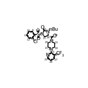 CCCCN1C(=O)N(S(=O)(=O)c2ccccc2Cl)C[C@H]1C(=O)N1CCN(c2ncccc2C(F)(F)F)CC1